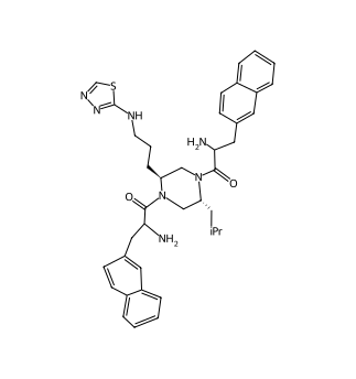 CC(C)C[C@@H]1CN(C(=O)C(N)Cc2ccc3ccccc3c2)[C@@H](CCCNc2nncs2)CN1C(=O)C(N)Cc1ccc2ccccc2c1